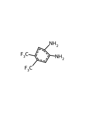 Nc1cc(C(F)(F)F)c(C(F)(F)F)cc1N